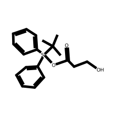 CC(C)(C)[Si](OC(=O)CCO)(c1ccccc1)c1ccccc1